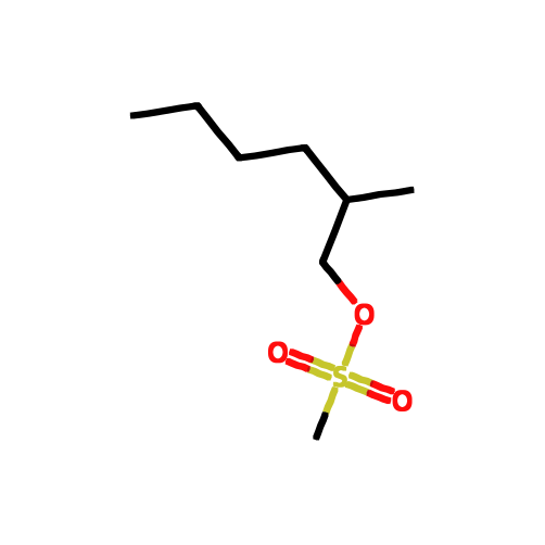 CCCCC(C)COS(C)(=O)=O